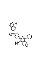 N#Cc1c(N2CCN(C(=O)c3ccc4[nH]ccc4c3)CC2)nc(C2CCCCC2)c2c1CCOC2